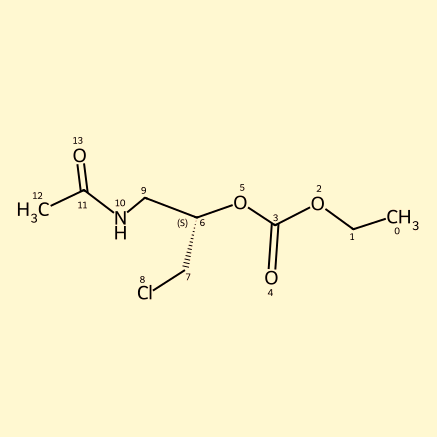 CCOC(=O)O[C@H](CCl)CNC(C)=O